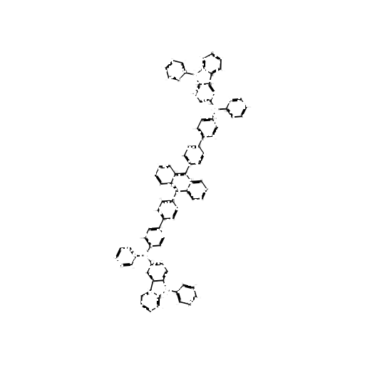 c1ccc(N(c2ccc(-c3ccc(-c4c5ccccc5c(-c5ccc(-c6ccc(N(c7ccccc7)c7ccc8c(c7)c7ccccc7n8-c7ccccc7)cc6)cc5)c5ccccc45)cc3)cc2)c2ccc3c(c2)c2ccccc2n3-c2ccccc2)cc1